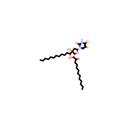 CCCCCCCCCCCC(=O)C(O)[C@H]1O[C@@H](n2cc(F)c(=O)[nH]c2=O)C[C@@]1(O)C(=O)CCCCCCCCCCC